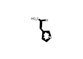 CC/C(=C\c1ccsc1)C(=O)O